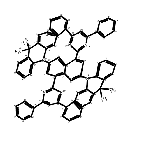 CC1(C)c2ccccc2N(c2cc(-c3nc(-c4ccccc4)cc(-c4ccccc4)n3)c3cc(N4c5ccccc5C(C)(C)c5ccccc54)cc(-c4nc(-c5ccccc5)cc(-c5ccccc5)n4)c3c2)c2ccccc21